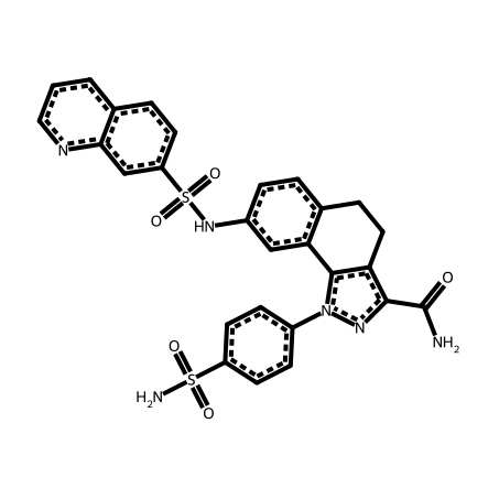 NC(=O)c1nn(-c2ccc(S(N)(=O)=O)cc2)c2c1CCc1ccc(NS(=O)(=O)c3ccc4cccnc4c3)cc1-2